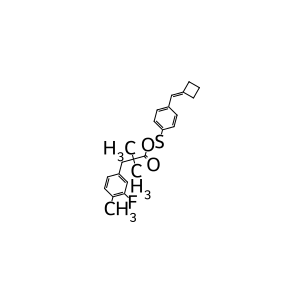 Cc1ccc(CC(C)(C)C(=O)OSc2ccc(C=C3CCC3)cc2)cc1F